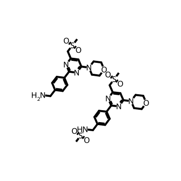 CS(=O)(=O)Cc1cc(N2CCOCC2)nc(-c2ccc(CN)cc2)n1.CS(=O)(=O)Cc1cc(N2CCOCC2)nc(-c2ccc(CNS(C)(=O)=O)cc2)n1